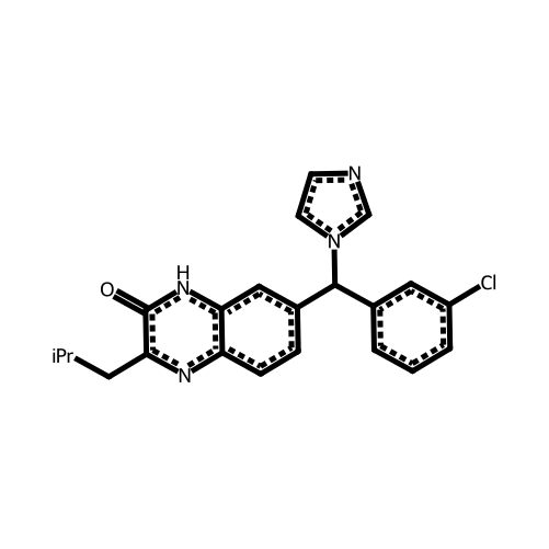 CC(C)Cc1nc2ccc(C(c3cccc(Cl)c3)n3ccnc3)cc2[nH]c1=O